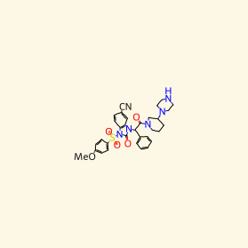 COc1ccc(S(=O)(=O)n2c(=O)n(C(C(=O)N3CCC[C@H](N4CCNCC4)C3)c3ccccc3)c3cc(C#N)ccc32)cc1